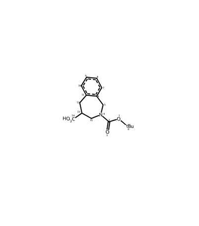 CC(C)(C)OC(=O)N1Cc2ccccc2CC(C(=O)O)C1